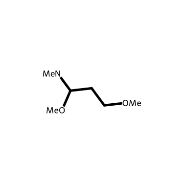 CNC(CCOC)OC